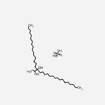 CCCCCCCCCCCCCCCCC(O)(CCCCCCCCCCCCCCCC)C(O)CO.O=S(=O)(O)O